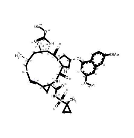 COc1ccc2c(O[C@@H]3C[C@H]4C(=O)N[C@]5(C(=O)NS(=O)(=O)C6(C)CC6)CC5/C=C\CC[C@H](C)C[C@@H](C)[C@H](NC(=O)OC(C)(C)C)C(=O)N4C3)nc(OC(C)C)cc2c1